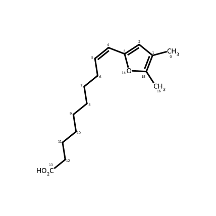 Cc1cc(/C=C\CCCCCCCC(=O)O)oc1C